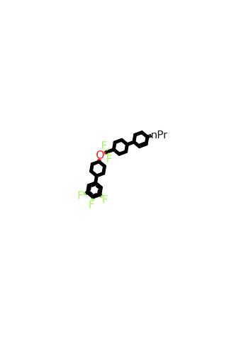 CCCC1C=CC(C2CCC(C(F)(F)OC3CCC(c4cc(F)c(F)c(F)c4)CC3)CC2)CC1